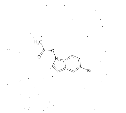 CC(=O)On1ccc2cc(Br)ccc21